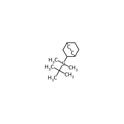 CC(C)(C)[Si](C)(C)C1CC2CCC1CC2